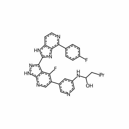 CC(C)CC(O)Nc1cncc(-c2cnc3[nH]nc(-c4nc5c(-c6ccc(F)cc6)nccc5[nH]4)c3c2F)c1